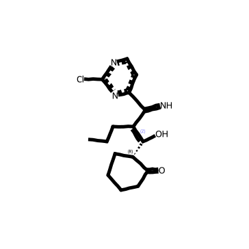 CCC/C(C(=N)c1ccnc(Cl)n1)=C(/O)[C@H]1CCCCC1=O